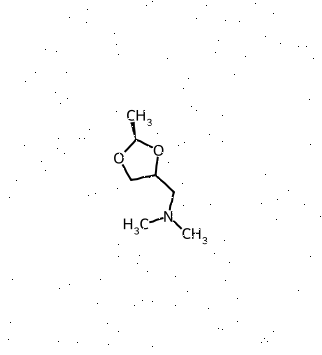 C[C@@H]1OCC(CN(C)C)O1